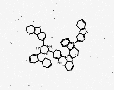 NC1=CC(C2NC(C3=CCC4SC5=C(CCCC5)C4C3)NC(C3=CC=CCC3C3CC=CCC3)N2)CC=C1N1C2=C(CCc3c2c2ccccc2n3C2=CC=C3SC4=C(CCC=C4)C3C2)C2C=CCCC21